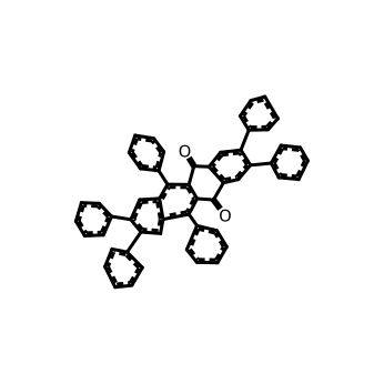 O=C1c2cc(-c3ccccc3)c(-c3ccccc3)cc2C(=O)c2c1c(-c1ccccc1)c1cc(-c3ccccc3)c(-c3ccccc3)cc1c2-c1ccccc1